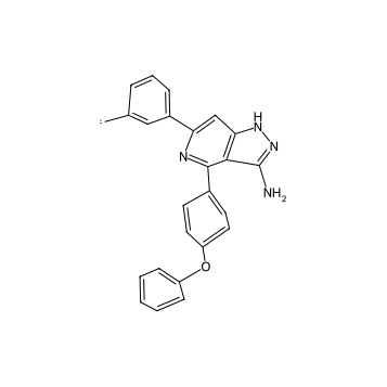 [CH]c1cccc(-c2cc3[nH]nc(N)c3c(-c3ccc(Oc4ccccc4)cc3)n2)c1